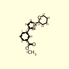 COC(=O)c1cccc(-c2ccn(C3CCCCO3)n2)c1